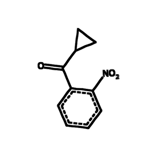 O=C(c1ccccc1[N+](=O)[O-])C1CC1